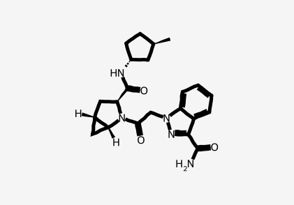 C[C@@H]1CC[C@@H](NC(=O)[C@@H]2C[C@H]3C[C@H]3N2C(=O)Cn2nc(C(N)=O)c3ccccc32)C1